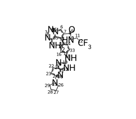 Nc1ncnn2cc(C(=O)NCC(F)(F)F)c(-c3ccc(Nc4nc5ccc(N6CCCC6)nc5[nH]4)cc3)c12